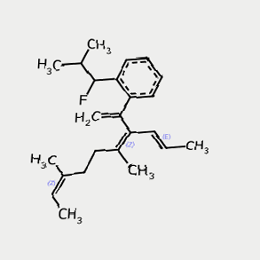 C=C(C(/C=C/C)=C(/C)CC/C(C)=C\C)c1ccccc1C(F)C(C)C